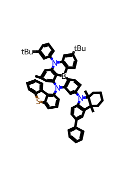 Cc1cc2c3c(c1)N(c1cccc4sc5ccccc5c14)c1cc(N4c5ccc(-c6ccccc6)cc5C5(C)CCCCC45C)ccc1B3c1ccc(C(C)(C)C)cc1N2c1cccc(C(C)(C)C)c1